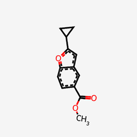 COC(=O)c1ccc2oc(C3CC3)cc2c1